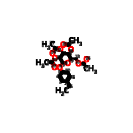 C=Cc1ccc(OC2O[C@H](COC(C)=O)[C@@H](OC(C)=O)[C@H](OC(C)=O)[C@H]2OC(C)=O)cc1